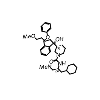 CNC[C@H](CC1CCCCC1)NC(=O)N1CCC[C@@H]([C@@](O)(CCCCOC)c2ccccc2COc2ccccc2)C1